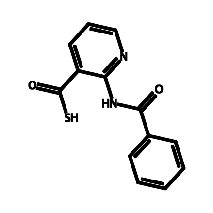 O=C(Nc1ncccc1C(=O)S)c1ccccc1